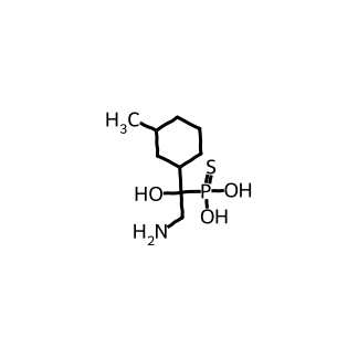 CC1CCCC(C(O)(CN)P(O)(O)=S)C1